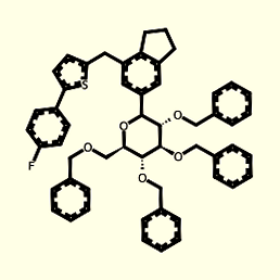 Fc1ccc(-c2ccc(Cc3cc(C4O[C@H](COCc5ccccc5)[C@@H](OCc5ccccc5)[C@H](OCc5ccccc5)[C@H]4OCc4ccccc4)cc4c3CCC4)s2)cc1